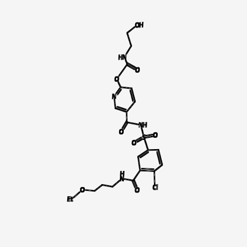 CCOCCCNC(=O)c1cc(S(=O)(=O)NC(=O)c2ccc(OC(=O)NCCO)nc2)ccc1Cl